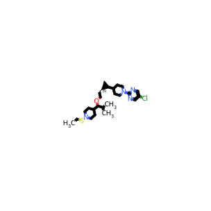 CCSN1CCC(C(OCC[C@@H]2CC2C2CCN(c3ncc(Cl)cn3)CC2)C(C)C)CC1